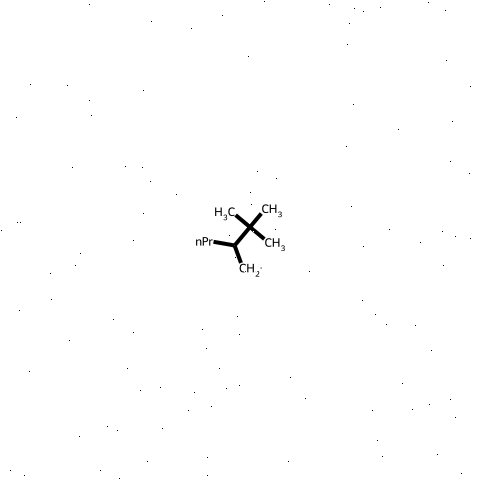 [CH2]CCC([CH2])C(C)(C)C